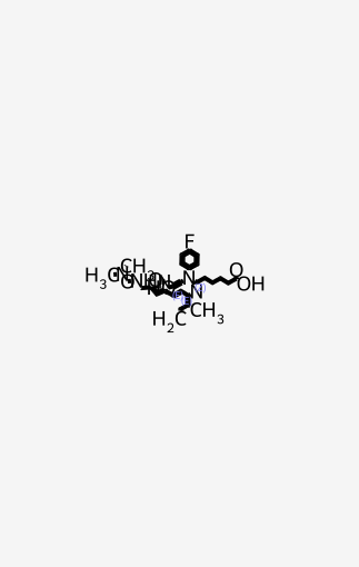 C=C/C(C)=C(\C=C\c1cc(CNON(C)C)on1)/N=C(/CCCCC(=O)O)N(C#CO)c1ccc(F)cc1